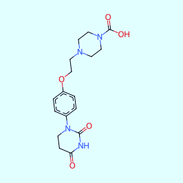 O=C1CCN(c2ccc(OCCN3CCN(C(=O)O)CC3)cc2)C(=O)N1